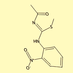 CS/C(=N\C(C)=O)Nc1ccccc1[N+](=O)[O-]